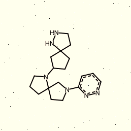 c1cnnc(N2CCC3(CCCN3C3CCC4(CCNN4)C3)C2)c1